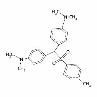 Cc1ccc(S(=O)(=O)C(c2ccc(N(C)C)cc2)c2ccc(N(C)C)cc2)cc1